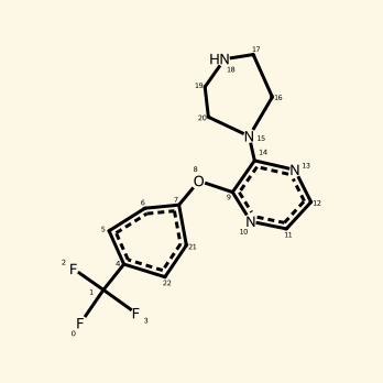 FC(F)(F)c1ccc(Oc2nccnc2N2CCNCC2)cc1